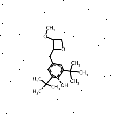 COC1COC1Cc1cc(C(C)(C)C)c(O)c(C(C)(C)C)c1